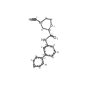 N#CN1CCOC(C(=O)Nc2cc(-c3ccccc3)ccn2)C1